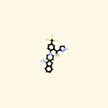 C=C(C1=NNCC1)c1cc(C(F)(F)F)ccc1N1CCC2(CC1)Cc1ccccc1[C@H]2N